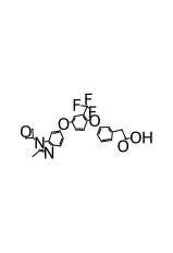 Cc1nc2ccc(Oc3ccc(Oc4cccc(CC(=O)O)c4)c(C(F)(F)F)c3)cc2n1C1COC1